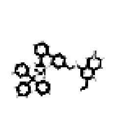 CCc1cc(OCc2ccc(-c3ccccc3-c3nnn(C(c4ccccc4)(c4ccccc4)c4ccccc4)n3)cc2)c2c(n1)CCNC2